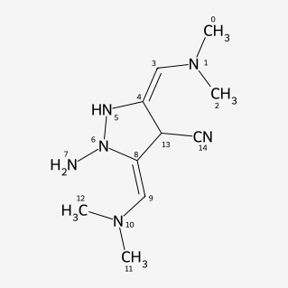 CN(C)C=C1NN(N)C(=CN(C)C)C1C#N